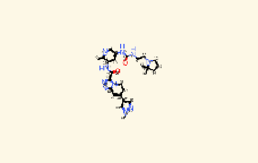 Cc1ncc(NC(=O)NCCN2CCCC2(C)C)cc1NC(=O)c1nnc2cc(-c3cnn(C)c3)ccn12